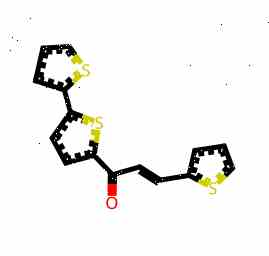 O=C(C=Cc1cccs1)c1ccc(-c2cccs2)s1